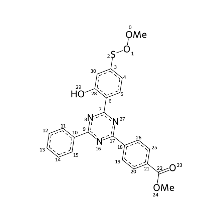 COOSc1ccc(-c2nc(-c3ccccc3)nc(-c3ccc(C(=O)OC)cc3)n2)c(O)c1